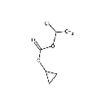 CC(Cl)OC(=O)OC1CC1